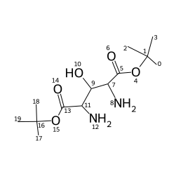 CC(C)(C)OC(=O)C(N)C(O)C(N)C(=O)OC(C)(C)C